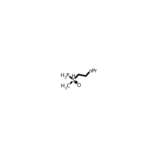 CCCCC[SH](C)(=O)P